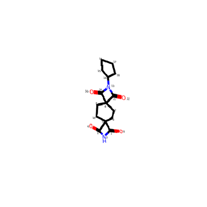 O=C1NC(=O)C12CCC1(CC2)C(=O)N(C2CCCC2)C1=O